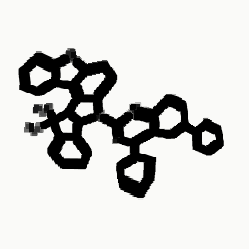 CC1(C)c2ccccc2C2C1c1c(ccc3oc4ccccc4c13)N2c1nc(-c2ccccc2)c2cc(-c3ccccc3)ccc2n1